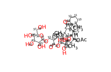 CC(=O)OC[C@]12CC[C@H]3[C@@H](CC=C4CC=CC(=O)[C@@]43C)[C@]1(O)[C@@H](OC(C)=O)C[C@@]2(O)[C@@](C)(O)[C@H]1CC(C)=C(COC2OC(CO)C(O)C(O)C2O)C(=O)O1